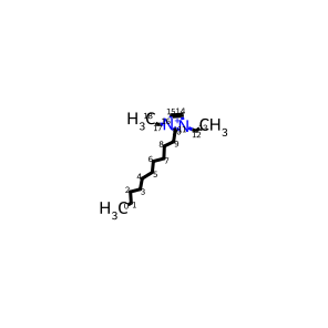 CCCCCCCCCCc1n(CC)cc[n+]1CC